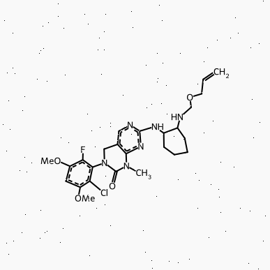 C=CCOCNC1CCCCC1Nc1ncc2c(n1)N(C)C(=O)N(c1c(F)c(OC)cc(OC)c1Cl)C2